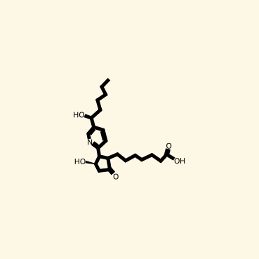 CCCCCC(O)c1ccc(C2C(CCCCCCC(=O)O)C(=O)C[C@H]2O)nc1